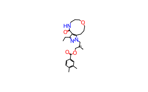 CCc1nn(C[C@@H](C)COC(=O)c2ccc(C)c(C)c2)c2c1C(=O)NCCCOCCC2